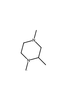 [CH2]N1CCN(C)CC1C